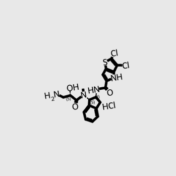 CN(C(=O)[C@@H](O)CN)[C@H]1c2ccccc2C[C@H]1NC(=O)c1cc2sc(Cl)c(Cl)c2[nH]1.Cl